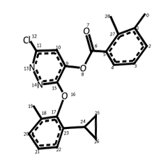 Cc1cccc(C(=O)Oc2cc(Cl)nnc2Oc2c(C)cccc2C2CC2)c1C